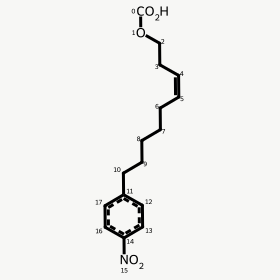 O=C(O)OCC/C=C\CCCCCc1ccc([N+](=O)[O-])cc1